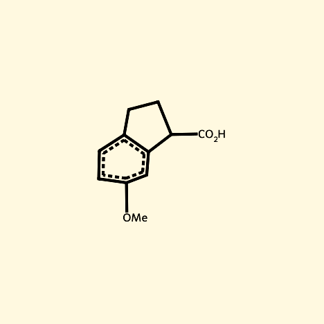 COc1ccc2c(c1)C(C(=O)O)CC2